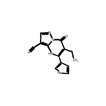 CCc1c(-c2cc[nH]c2)[nH]c2c(C#N)cnn2c1=O